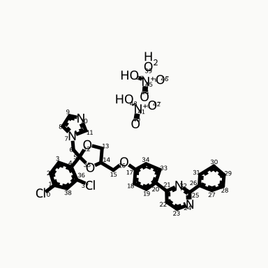 Clc1ccc(C2(Cn3ccnc3)OCC(COc3ccc(-c4ccnc(-c5ccccc5)n4)cc3)O2)c(Cl)c1.O.O=[N+]([O-])O.O=[N+]([O-])O